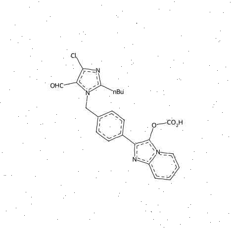 CCCCc1nc(Cl)c(C=O)n1Cc1ccc(-c2nc3ccccn3c2OC(=O)O)cc1